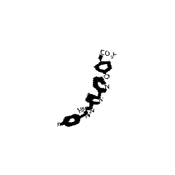 O=C(O)C[C@H]1CC[C@@H](Oc2ccc(-c3ccc(-c4nnc(-c5ccc(F)cc5)[nH]4)cn3)cn2)CC1